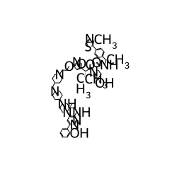 Cc1ncsc1-c1ccc([C@H](C)NC(=O)[C@@H]2C[C@@H](O)CN2C(=O)[C@@H](c2cc(OCCN3CCC(CN4CCC(N5CCN6c7cc(-c8ccccc8O)nnc7NC[C@H]6C5)CC4)CC3)no2)C(C)C)cc1